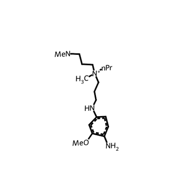 CCC[N+](C)(CCCNC)CCCNc1ccc(N)c(OC)c1